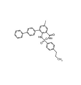 CCCc1ccc(S(=O)(=O)Nc2c(C([NH])=O)cc(I)cc2-c2ccc(-c3ccccc3)cc2)cc1